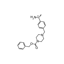 C[C@H](N)c1ccc(CN2CCN(C(=O)OCc3ccccc3)CC2)cc1